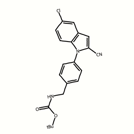 CC(C)(C)OC(=O)NCc1ccc(-n2c(C#N)cc3cc(Cl)ccc32)cc1